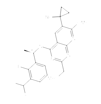 COCc1nc(N[C@H](C)c2cccc(C(F)F)c2F)c2cc(C3(C#N)CC3)c(OC)nc2n1